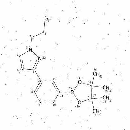 CC(C)CCn1cnc(-c2cccc(B3OC(C)(C)C(C)(C)O3)c2)n1